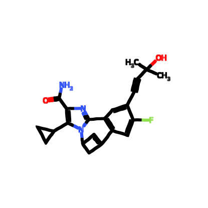 CC(C)(O)C#Cc1cc2c(cc1F)C1=CC(C1)n1c-2nc(C(N)=O)c1C1CC1